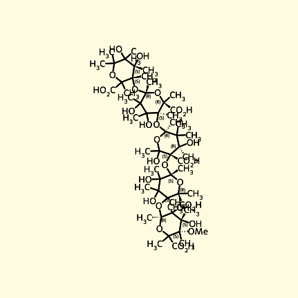 CO[C@]1(C)C(C)(C(=O)O)O[C@@](C)(O[C@@]2(C)C(C)(O)C(C)(O)[C@](C)(O[C@]3(C(=O)O)C(C)(O)O[C@@](C)(O[C@@]4(C)C(C)(O)C(C)(O)[C@](C)(O[C@]5(C)C(C)(C(=O)O)OC(C)(C)C(C)(O)[C@]5(C)O)O[C@@]4(C)C(=O)O)C(C)(C)[C@@]3(C)O)O[C@@]2(C)C(=O)O)C(C)(O)[C@]1(C)O